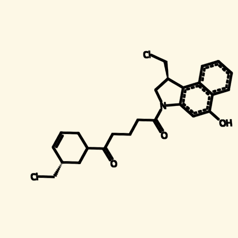 O=C(CCCC(=O)N1C[C@@H](CCl)c2c1cc(O)c1ccccc21)C1CC=C[C@@H](CCl)C1